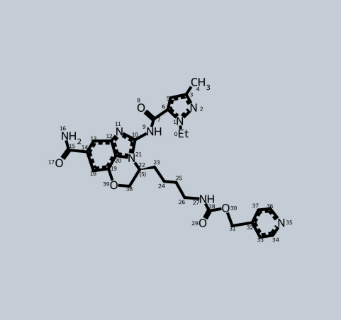 CCn1nc(C)cc1C(=O)Nc1nc2cc(C(N)=O)cc3c2n1[C@@H](CCCCNC(=O)OCc1ccncc1)CO3